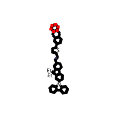 CCC1(CC)C2=C(CCC(/C=C/C3=CCC(c4ccc5c(c4)C4C6=C(CCC=C6)C5c5ccccc54)S3)=C2)c2ccc(-n3c4ccccc4c4ccccc43)cc21